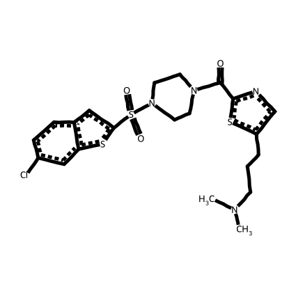 CN(C)CCCc1cnc(C(=O)N2CCN(S(=O)(=O)c3cc4ccc(Cl)cc4s3)CC2)s1